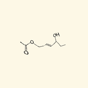 CCC(O)C=CCOC(C)=O